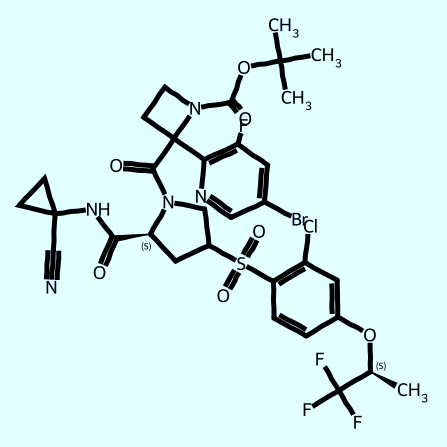 C[C@H](Oc1ccc(S(=O)(=O)C2C[C@@H](C(=O)NC3(C#N)CC3)N(C(=O)C3(c4ncc(Br)cc4F)CCN3C(=O)OC(C)(C)C)C2)c(Cl)c1)C(F)(F)F